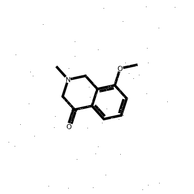 COc1c[c]cc2c1CN(C)CC2=O